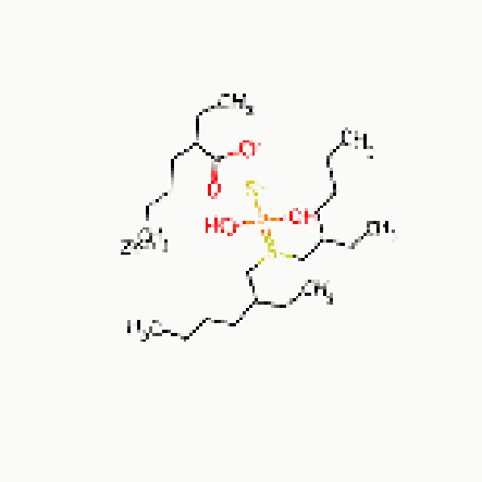 CCCCC(CC)C(=O)[O-].CCCCC(CC)CS(CC(CC)CCCC)=P(O)(O)[S-].[Zn+2]